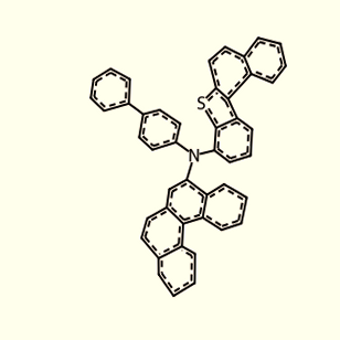 c1ccc(-c2ccc(N(c3cc4ccc5ccccc5c4c4ccccc34)c3cccc4c3sc3ccc5ccccc5c34)cc2)cc1